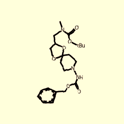 CN(CC1COC2(CCN(NC(=O)OCc3ccccc3)CC2)O1)C(=O)OC(C)(C)C